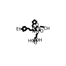 C#CCn1c(=O)c2c(nc(CCc3ccc(CC)cc3)n2CC2CCCC2)n(CCCCP(=O)(O)O)c1=O